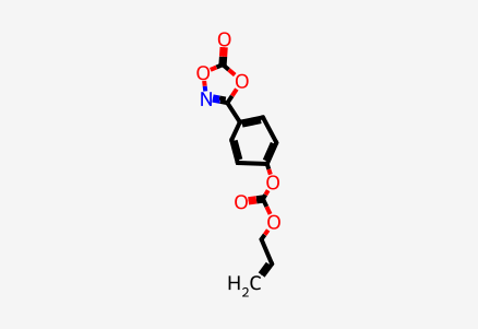 C=CCOC(=O)Oc1ccc(-c2noc(=O)o2)cc1